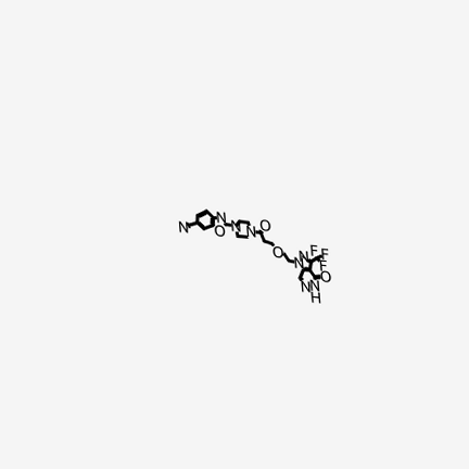 N#Cc1ccc2nc(N3CCN(C(=O)CCOCCn4nc(C(F)(F)F)c5c(=O)[nH]ncc54)CC3)oc2c1